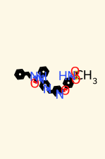 CS(=O)(=O)Nc1ccc(Oc2ccc(CN3CCC(N(C(=O)NCCc4ccccc4)c4ccccc4)CC3)cn2)cc1